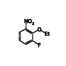 CCOc1c(F)cccc1[N+](=O)[O-]